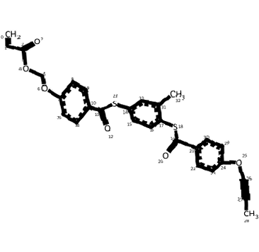 C=CC(=O)OCOc1ccc(C(=O)Sc2ccc(SC(=O)c3ccc(OC#CC)cc3)c(C)c2)cc1